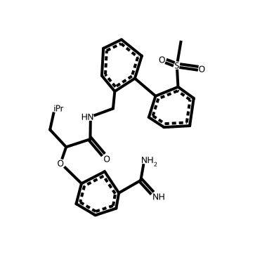 CC(C)CC(Oc1cccc(C(=N)N)c1)C(=O)NCc1ccccc1-c1ccccc1S(C)(=O)=O